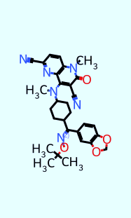 CN(c1c(C#N)c(=O)n(C)c2ccc(C#N)nc12)C1CCC(/C(=N/OC(C)(C)C)c2ccc3c(c2)OCO3)CC1